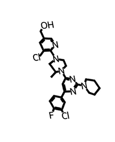 CC1CN(c2ncc(CO)cc2Cl)CCN1c1cc(-c2ccc(F)c(Cl)c2)nc(N2CCCCC2)n1